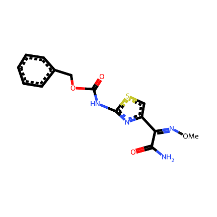 CON=C(C(N)=O)c1csc(NC(=O)OCc2ccccc2)n1